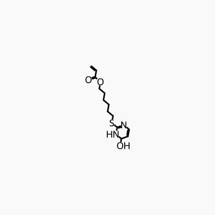 C=CC(=O)OCCCCCCSC1=NC=CC(O)N1